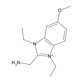 CCn1c(CN)[n+](CC)c2ccc(OC)cc21